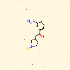 Nc1cccc(C(=O)CC2CCN(S)C2)c1